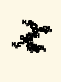 C=CCn1c(=O)c2cnc(Nc3cc4c(c(OCC5(C)CC5)c3)CCN(C)C4)nc2n1-c1cccc(N=S(C)(C)=O)n1